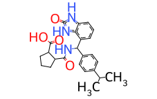 CC(C)c1ccc(C(NC(=O)C2CCCC2C(=O)O)c2cccc3[nH]c(=O)[nH]c23)cc1